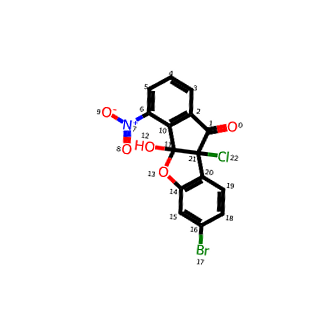 O=C1c2cccc([N+](=O)[O-])c2C2(O)Oc3cc(Br)ccc3C12Cl